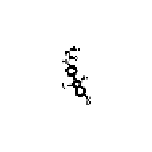 CCCCNC(=O)Nc1ccc(-c2c(N)c3ccc(OCC)cc3n2CC)cc1